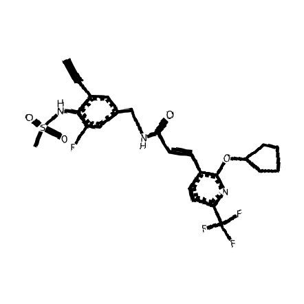 C#Cc1cc(CNC(=O)/C=C/c2ccc(C(F)(F)F)nc2OC2CCCC2)cc(F)c1NS(C)(=O)=O